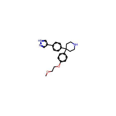 COCCOc1ccc(C2(c3ccc(-c4cn[nH]c4)cc3)CCNCC2)cc1